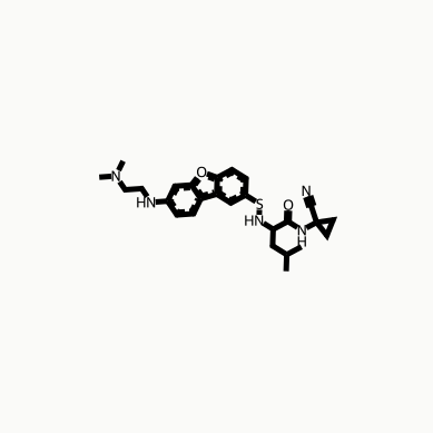 CC(C)CC(NSc1ccc2oc3cc(NCCN(C)C)ccc3c2c1)C(=O)NC1(C#N)CC1